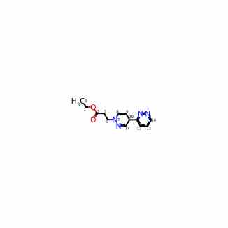 CCOC(=O)CCN1C=CC(c2cccnn2)C=N1